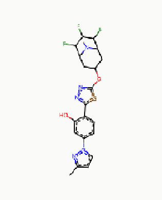 Cc1ccn(-c2ccc(-c3nnc(OC4CC5C(F)C(F)C(F)C(C4)N5C)s3)c(O)c2)n1